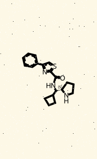 O=C(NC(C1CCC1)[C@@H]1CCCN1)c1nc(-c2ccccc2)cs1